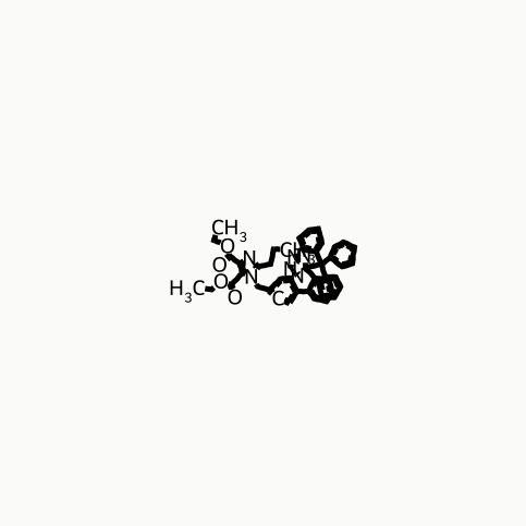 CCCc1nc(C(=O)OCC)c(C(=O)OCC)n1Cc1ccc(-c2ccccc2C2(C(c3ccccc3)(c3ccccc3)c3ccccc3)N=NN=N2)cc1